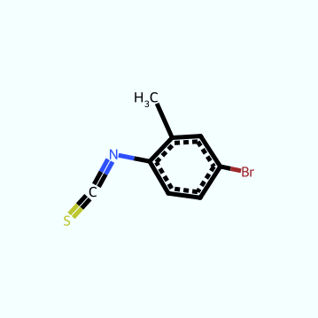 Cc1cc(Br)ccc1N=C=S